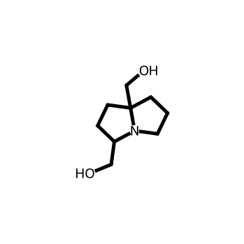 OCC1CCC2(CO)CCCN12